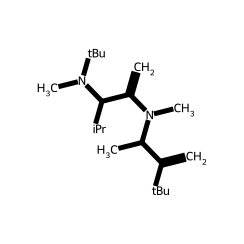 C=C(C(C(C)C)N(C)C(C)(C)C)N(C)C(C)C(=C)C(C)(C)C